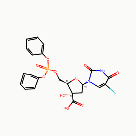 O=C(O)[C@]1(O)C[C@H](n2cc(F)c(=O)[nH]c2=O)O[C@@H]1COP(=O)(Oc1ccccc1)Oc1ccccc1